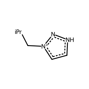 CC(C)C[n+]1cc[nH]n1